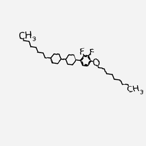 CCCCCCCCCOc1ccc(C2CCC(C3CCC(CCCCCCCC)CC3)CC2)c(F)c1F